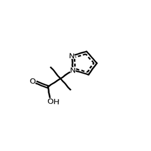 CC(C)(C(=O)O)n1cccn1